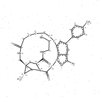 CC(=O)c1nn2c3c(cc(-c4cnc(C)nc4)cc13)CCCCCCC(=O)NC[C@@]13C[C@@H](C(=O)NCCC(C)(C)C)N(C(=O)C2)C1[C@@H]3C